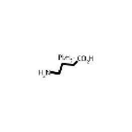 NCCCC(=O)O.[PbH2]